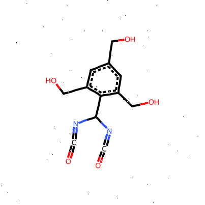 O=C=NC(N=C=O)c1c(CO)cc(CO)cc1CO